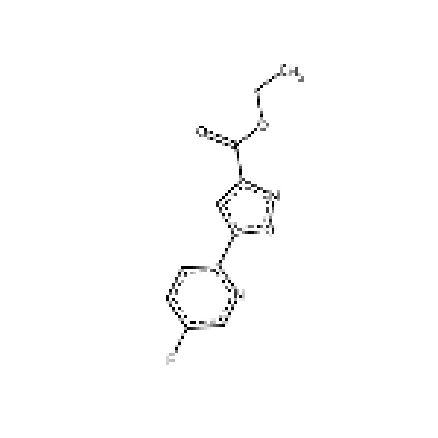 CCOC(=O)c1cc(-c2ccc(F)cn2)on1